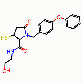 O=C(NCCO)C1C(S)CC(=O)N1Cc1ccc(Oc2ccccc2)cc1